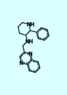 c1ccc(C2NCCCC2NCc2cnc3ccccc3n2)cc1